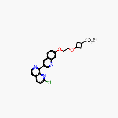 CCOC(=O)C1CC(OCCOc2ccc3cc(-c4nccc5ccc(Cl)nc45)cnc3c2)C1